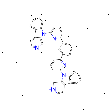 C1=Cc2c(n(-c3cccc(-c4cccc(-c5cccc(-n6c7ccccc7c7ccncc76)n5)c4)n3)c3ccccc23)CN1